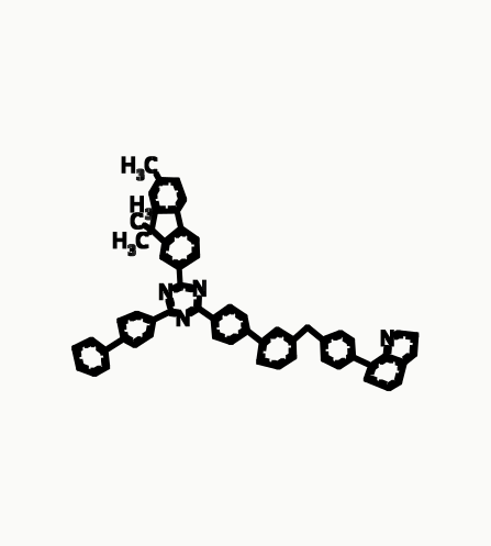 Cc1ccc2c(c1)C(C)(C)c1cc(-c3nc(-c4ccc(-c5ccccc5)cc4)nc(-c4ccc(-c5cccc(Cc6ccc(-c7cccc8cccnc78)cc6)c5)cc4)n3)ccc1-2